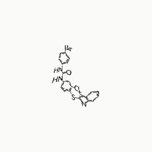 O=C(Nc1ccc(Br)cc1)Nc1ccc(Sc2nc3ccccc3s2)c(Cl)c1